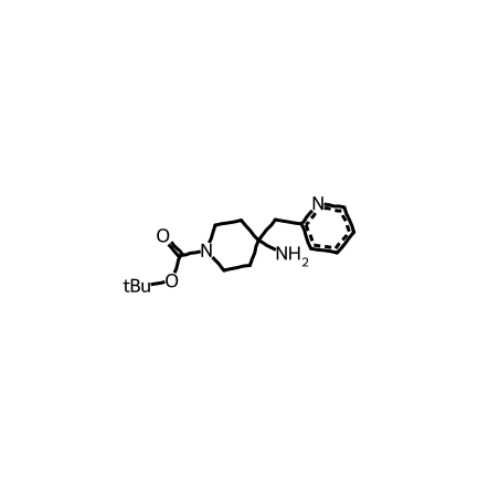 CC(C)(C)OC(=O)N1CCC(N)(Cc2ccccn2)CC1